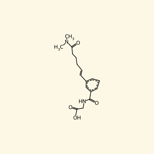 CN(C)C(=O)CCCC=Cc1cccc(C(=O)NCC(=O)O)c1